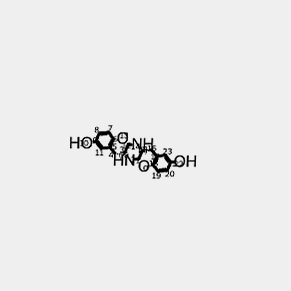 O=C1N[C@H](Cc2cccc(O)c2)C(=O)N[C@H]1Cc1cccc(O)c1